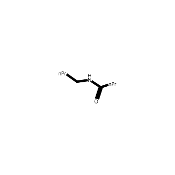 [CH2]CCC(=O)NCCCC